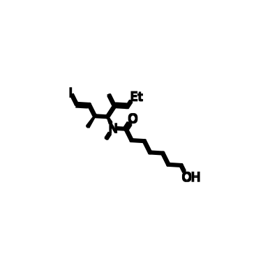 CC/C=C(\C)[C@H]([C@@H](C)/C=C/I)N(C)C(=O)CCCCCCO